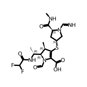 CNC(=O)[C@@H]1C[C@H](SC2=C(C(=O)O)N(C=O)[C@@H]([C@@H](C)NC(=O)C(F)F)[C@H]2C)CN1C=N